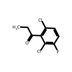 CCC(=O)c1c(Cl)ccc(F)c1Cl